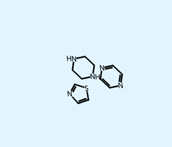 C1CNCCN1.c1cnccn1.c1cscn1